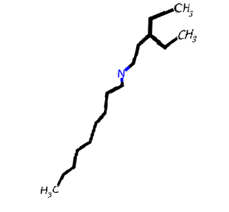 CCCCCCCCC[N]CCC(CC)CC